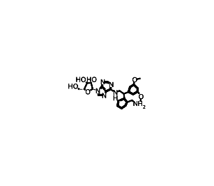 COc1cc(OC)cc(C(CNc2ncnc3c2ncn3[C@@H]2O[C@H](CO)[C@@H](O)[C@H]2O)c2ccccc2CN)c1